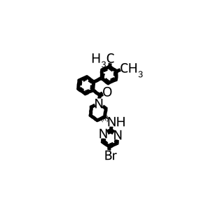 Cc1ccc(-c2ccccc2C(=O)N2CCC[C@@H](Nc3ncc(Br)cn3)C2)cc1C